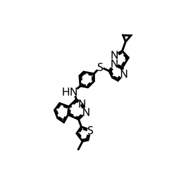 Cc1csc(-c2nnc(Nc3ccc(Sc4ccnc5cc(C6CC6)nn45)cc3)c3ccccc23)c1